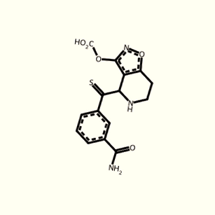 NC(=O)c1cccc(C(=S)C2NCCc3onc(OC(=O)O)c32)c1